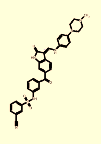 CN1CCN(c2ccc(N/C=C3/C(=O)Nc4cc(C(=O)c5cccc(NS(=O)(=O)c6cccc(C#N)c6)c5)ccc43)cc2)CC1